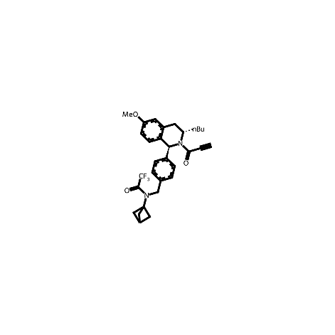 C#CC(=O)N1[C@@H](CCCC)Cc2cc(OC)ccc2[C@@H]1c1ccc(CN(C(=O)C(F)(F)F)C23CC(C2)C3)cc1